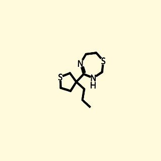 CCCC1(C2=NCCSCN2)CCSC1